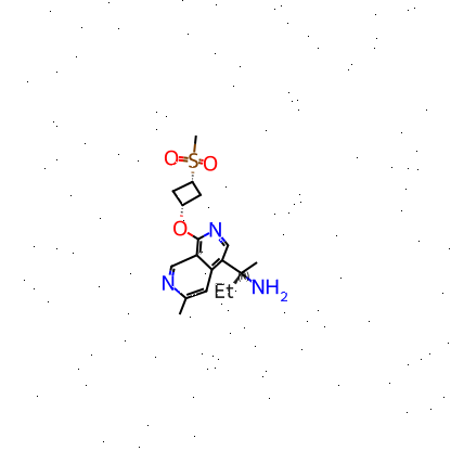 CC[C@@](C)(N)c1cnc(O[C@H]2C[C@@H](S(C)(=O)=O)C2)c2cnc(C)cc12